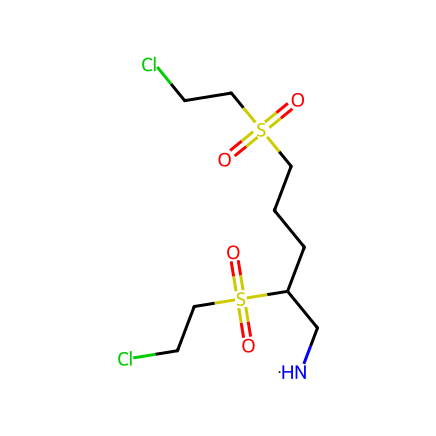 [NH]CC(CCCS(=O)(=O)CCCl)S(=O)(=O)CCCl